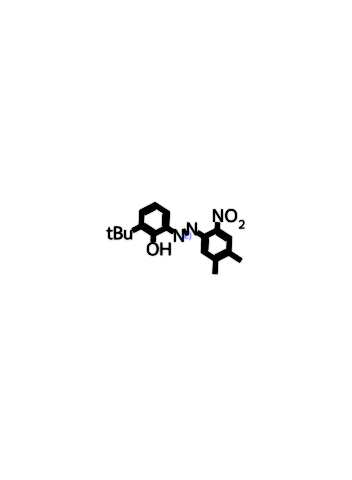 Cc1cc(/N=N/c2cccc(C(C)(C)C)c2O)c([N+](=O)[O-])cc1C